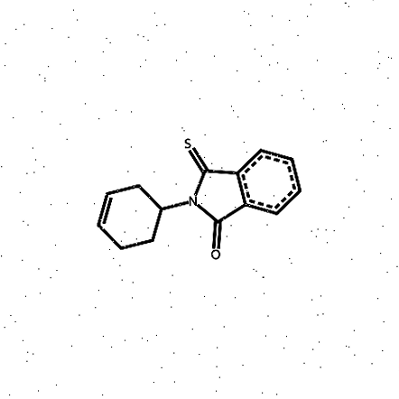 O=C1c2ccccc2C(=S)N1C1CC=CCC1